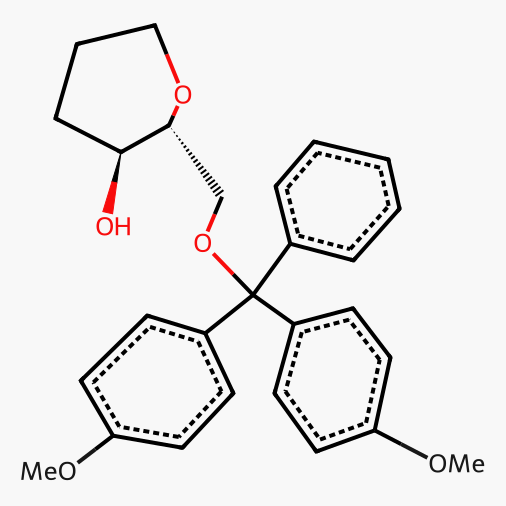 COc1ccc(C(OC[C@H]2OCCC[C@@H]2O)(c2ccccc2)c2ccc(OC)cc2)cc1